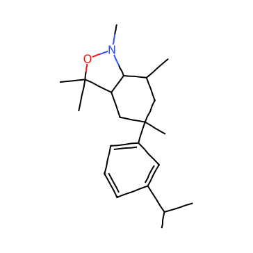 CC(C)c1cccc(C2(C)CC(C)C3C(C2)C(C)(C)ON3C)c1